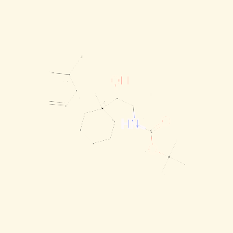 C=C[C@@H](CC1([C@H](O)[C@H](C)NC(=O)OC(C)(C)C)CCCCC1)C(C)C